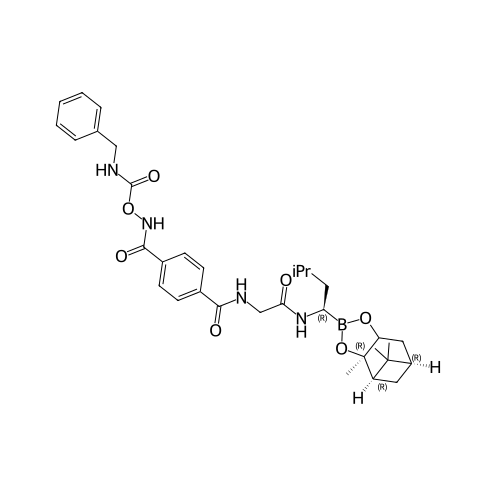 CC(C)C[C@H](NC(=O)CNC(=O)c1ccc(C(=O)NOC(=O)NCc2ccccc2)cc1)B1OC2C[C@H]3C[C@H](C3(C)C)[C@@]2(C)O1